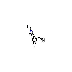 CC(C)(C)N1CCN(CC(=O)/C=C/CF)C(CC#N)C1